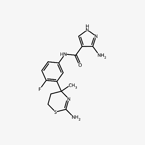 CC1(c2cc(NC(=O)c3c[nH]nc3N)ccc2F)CCSC(N)=N1